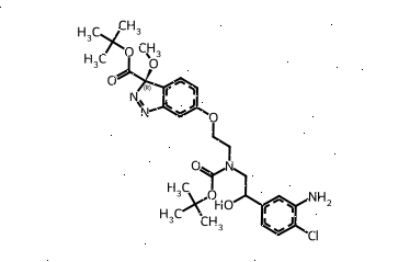 CO[C@]1(C(=O)OC(C)(C)C)N=Nc2cc(OCCN(CC(O)c3ccc(Cl)c(N)c3)C(=O)OC(C)(C)C)ccc21